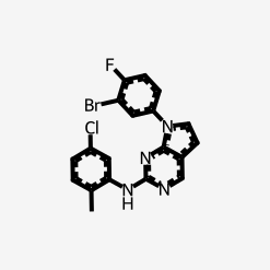 Cc1ccc(Cl)cc1Nc1ncc2ccn(-c3ccc(F)c(Br)c3)c2n1